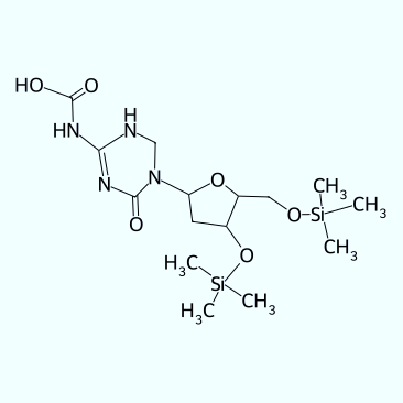 C[Si](C)(C)OCC1OC(N2CNC(NC(=O)O)=NC2=O)CC1O[Si](C)(C)C